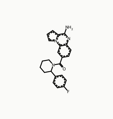 Nc1nc2ccc(C(=O)N3CCCCC3c3ccc(F)cc3)cc2n2cccc12